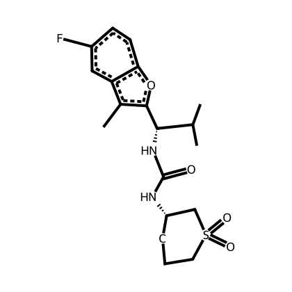 Cc1c([C@@H](NC(=O)N[C@H]2CCCS(=O)(=O)C2)C(C)C)oc2ccc(F)cc12